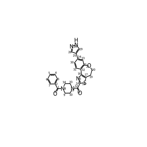 O=C(c1ccccc1)N1CCN(C(=O)c2nc3c(s2)CCOc2cc(-c4cn[nH]c4)ccc2-3)CC1